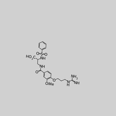 COc1cc(C(=O)NCC(NS(=O)(=O)c2ccccc2)C(=O)O)ccc1OCCCNC(=N)N